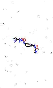 O=C(Nc1ccc(C2CCN(C(=O)c3nccs3)C2)cc1)N1CC(c2cccnc2)C1